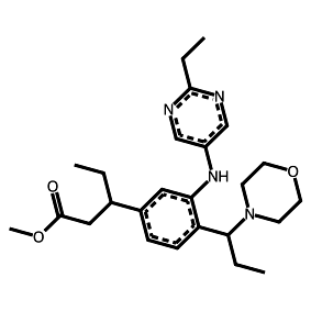 CCc1ncc(Nc2cc(C(CC)CC(=O)OC)ccc2C(CC)N2CCOCC2)cn1